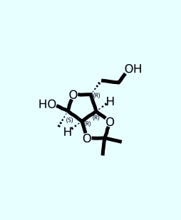 CC1(C)O[C@H]2[C@@H](O1)[C@@](C)(O)O[C@@H]2CCO